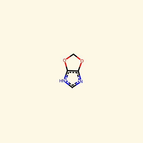 [c]1nc2c([nH]1)OCO2